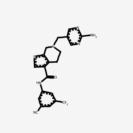 N#Cc1cc(NC(=O)c2csc3c2CCN(Cc2cnc(N)nc2)C3)cc(C(F)(F)F)c1